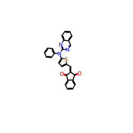 O=C1C(=Cc2ccc(N(c3ccccc3)c3ncc4ccccc4n3)s2)C(=O)c2ccccc21